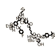 CCS(=O)(=O)Nc1ccc(-c2nn(COCC[Si](C)(C)C)c(Nc3ccc(C(=O)OCCCCC(=O)N[C@H](C(=O)N4C[C@H](O)C[C@H]4C(=O)NCc4ccc(-c5scnc5C)cc4)C(C)(C)C)cn3)c2C#N)cc1O[C@@H](C)c1ccc(F)cc1